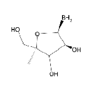 B[C@@H]1O[C@](C)(CO)C(O)[C@@H]1O